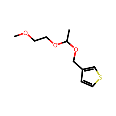 COCCOC(C)OCc1ccsc1